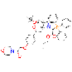 C=CCOC(=O)C(N1C[C@H]([C@@H](C)O[Si](C)(C)C)[C@H]1CC(=O)c1ccc(OCC(=O)N2CCOCC2)cc1)=P(c1ccccc1)(c1ccccc1)c1ccccc1